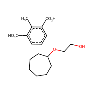 Cc1c(C(=O)O)cccc1C(=O)O.OCCOC1CCCCCC1